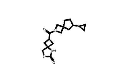 O=C1NC2(CO1)CC(C(=O)N1CC3(CCC(C4CC4)C3)C1)C2